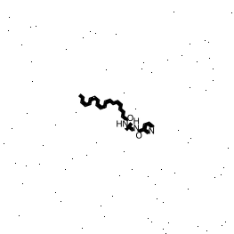 CC/C=C\C/C=C\C/C=C\C/C=C\C/C=C\CCCC(=O)NC(C)(C)CNC(=O)c1cccnc1